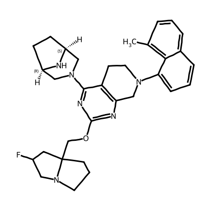 Cc1cccc2cccc(N3CCc4c(nc(OCC56CCCN5CC(F)C6)nc4N4C[C@H]5CC[C@@H](C4)N5)C3)c12